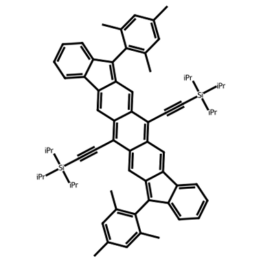 Cc1cc(C)c(C2=c3cc4c(C#C[Si](C(C)C)(C(C)C)C(C)C)c5cc6c(cc5c(C#C[Si](C(C)C)(C(C)C)C(C)C)c4cc3-c3ccccc32)=C(c2c(C)cc(C)cc2C)c2ccccc2-6)c(C)c1